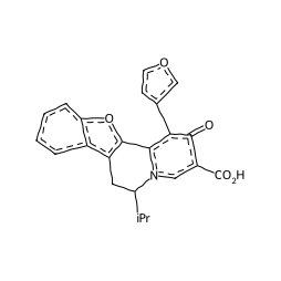 CC(C)C1Cc2c(oc3ccccc23)-c2c(-c3ccoc3)c(=O)c(C(=O)O)cn21